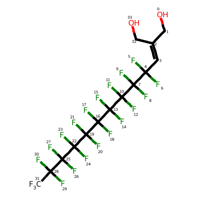 OCC(=CC(F)(F)C(F)(F)C(F)(F)C(F)(F)C(F)(F)C(F)(F)C(F)(F)C(F)(F)C(F)(F)C(F)(F)F)CO